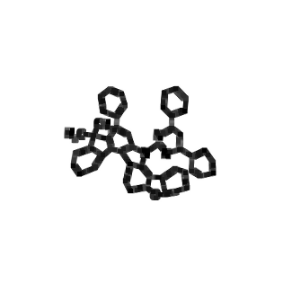 CC1(C)c2ccccc2-c2c1c(-c1ccccc1)cc1c2c2ccc3oc4ccccc4c3c2n1-c1nc(-c2ccccc2)cc(-c2ccccc2)n1